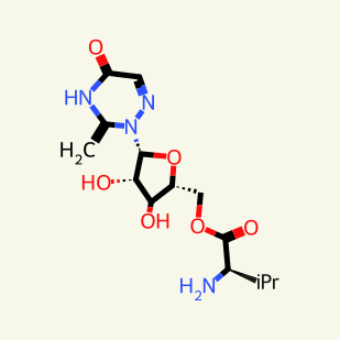 C=C1NC(=O)C=NN1[C@@H]1O[C@H](COC(=O)[C@H](N)C(C)C)C(O)[C@@H]1O